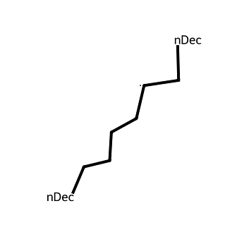 CCCCCCCCCCC[CH]CCCCCCCCCCCCCC